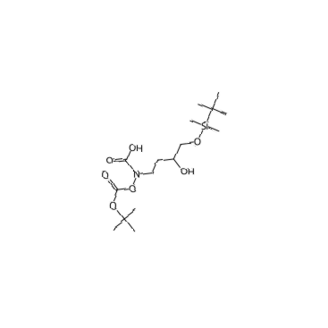 CC(C)(C)OC(=O)ON(CCC(O)CO[Si](C)(C)C(C)(C)C)C(=O)O